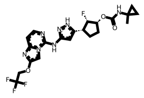 CC1(NC(=O)O[C@@H]2CC[C@H](c3cc(Nc4nccc5nc(OCC(F)(F)F)cn45)n[nH]3)[C@@H]2F)CC1